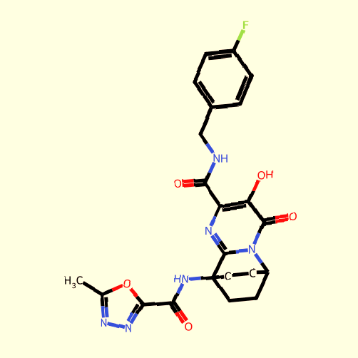 Cc1nnc(C(=O)NC23CCC(CC2)n2c3nc(C(=O)NCc3ccc(F)cc3)c(O)c2=O)o1